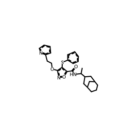 CC(NC(=O)c1onc(OCCc2ccccn2)c1Sc1ccccc1)C1CC2CCCC(C2)C1